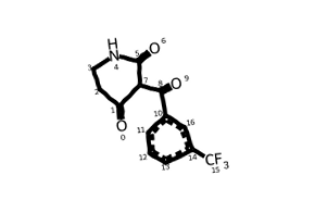 O=C1CCNC(=O)C1C(=O)c1cccc(C(F)(F)F)c1